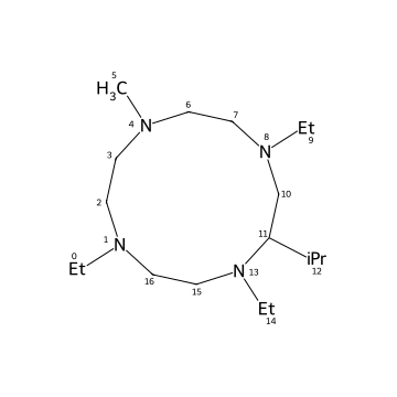 CCN1CCN(C)CCN(CC)CC(C(C)C)N(CC)CC1